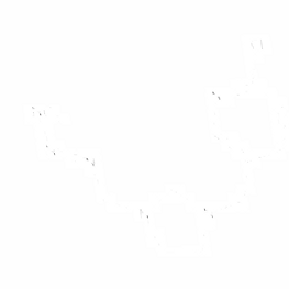 O=[N+]([O-])N=NCN1CCN(Cc2ccc(Cl)nc2)C1